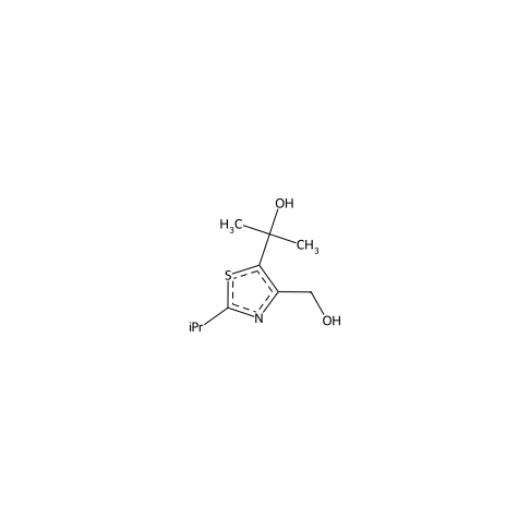 CC(C)c1nc(CO)c(C(C)(C)O)s1